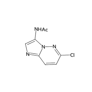 CC(=O)Nc1cnc2ccc(Cl)nn12